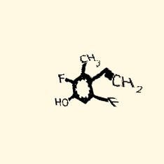 C=Cc1c(F)cc(O)c(F)c1C